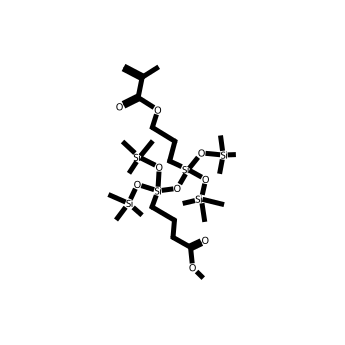 C=C(C)C(=O)OCCC[Si](O[Si](C)(C)C)(O[Si](C)(C)C)O[Si](CCCC(=O)OC)(O[Si](C)(C)C)O[Si](C)(C)C